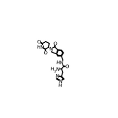 NC(Cc1c[nH]cn1)C(=O)NCc1ccc2c(c1)CN([C@@H]1CCC(=O)NC1=O)C2=O